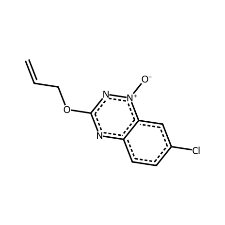 C=CCOc1nc2ccc(Cl)cc2[n+]([O-])n1